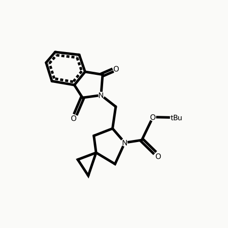 CC(C)(C)OC(=O)N1CC2(CC2)CC1CN1C(=O)c2ccccc2C1=O